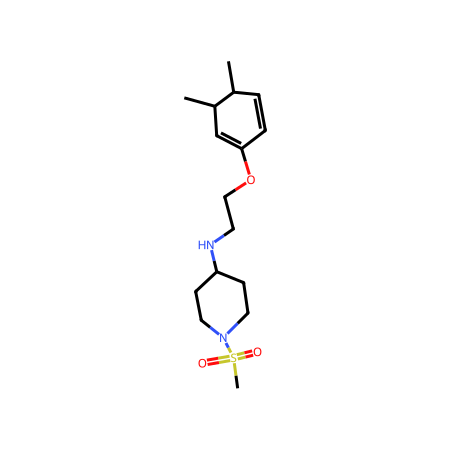 CC1C=CC(OCCNC2CCN(S(C)(=O)=O)CC2)=CC1C